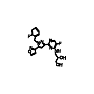 OC[C@H](O)CNc1nc(-c2cc(-c3ccon3)n(Cc3ccccc3F)n2)ncc1F